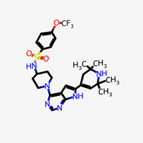 CC1(C)C=C(c2cc3c(N4CCC(NS(=O)(=O)c5ccc(OC(F)(F)F)cc5)CC4)ncnc3[nH]2)CC(C)(C)N1